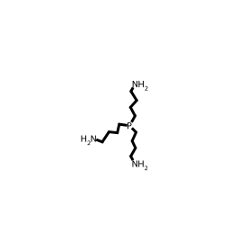 NCCCCP(CCCCN)CCCCN